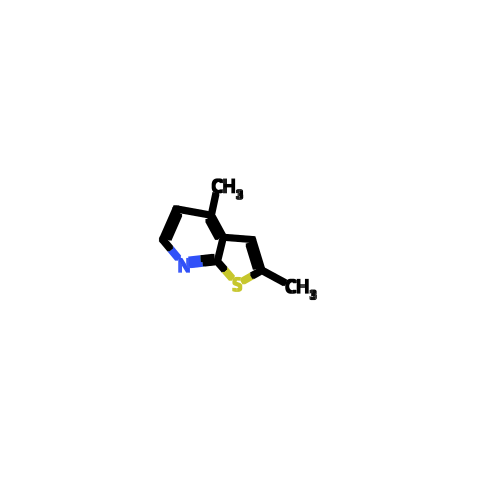 Cc1cc2c(C)ccnc2s1